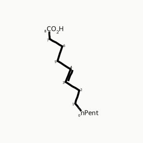 CCCCCCCC=CCCCC(=O)O